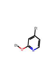 CCOc1cc(CC)ccn1